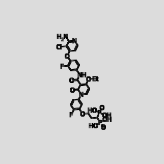 CCOc1ccn(-c2ccc(F)c(OCCC(P(=O)(O)O)P(=O)(O)O)c2)c(=O)c1C(=O)Nc1ccc(Oc2ccnc(N)c2Cl)c(F)c1